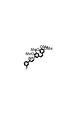 COc1cc(/C=C\c2cc(F)c(OC)c(N/C=C\C(=O)c3cccc(F)c3)c2)cc(OC)c1OC